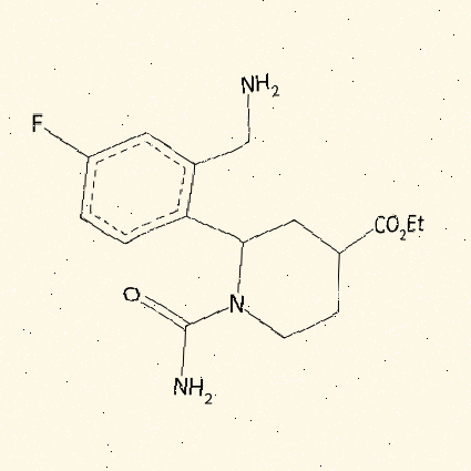 CCOC(=O)C1CCN(C(N)=O)C(c2ccc(F)cc2CN)C1